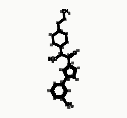 CCCN1CCC(N(C)C(=O)n2cnc(-c3cccc(N)c3)c2)CC1